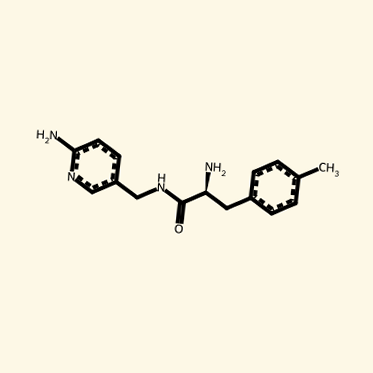 Cc1ccc(C[C@H](N)C(=O)NCc2ccc(N)nc2)cc1